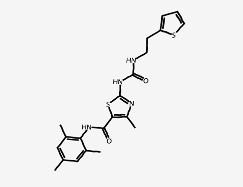 Cc1cc(C)c(NC(=O)c2sc(NC(=O)NCCc3cccs3)nc2C)c(C)c1